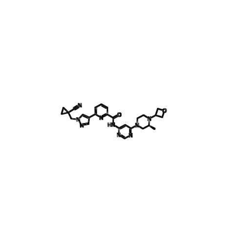 C[C@H]1CN(c2cc(NC(=O)c3cccc(-c4cnn(CC5(C#N)CC5)c4)n3)ncn2)CCN1C1COC1